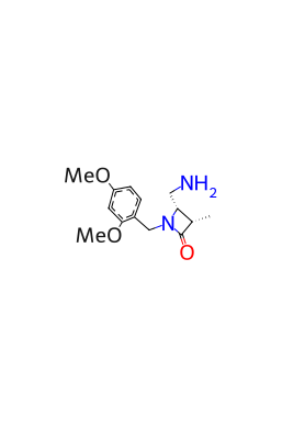 COc1ccc(CN2C(=O)[C@@H](C)[C@H]2CN)c(OC)c1